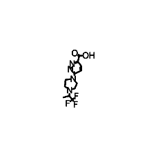 CC(N1CCN(c2ccc(C(=O)O)nn2)CC1)C(F)(F)F